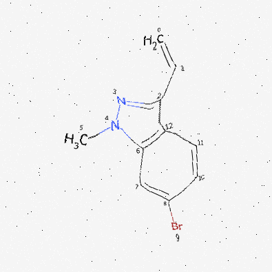 C=Cc1nn(C)c2cc(Br)ccc12